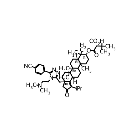 CC(C)C1=C2[C@H]3CCC4[C@@]5(C)CC[C@H](OC(=O)CC(C)(C)C(=O)O)C(C)(C)[C@@H]5CC[C@@]4(C)[C@]3(C)CC[C@@]2(Cc2nnc(-c3ccc(C#N)cc3)n2CCN(C)C)CC1=O